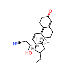 CCC1C[C@H]2[C@@H]3CCC4=CC(=O)CCC4=C3C=C[C@]2(C(C)CC#N)[C@H]1O